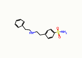 NS(=O)(=O)c1ccc(CCNCCc2ccccc2)cc1